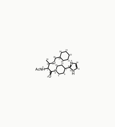 CC(=O)NC(C(=O)N1CCC(c2ncc[nH]2)CC1)C(C)OCC1CCCCC1